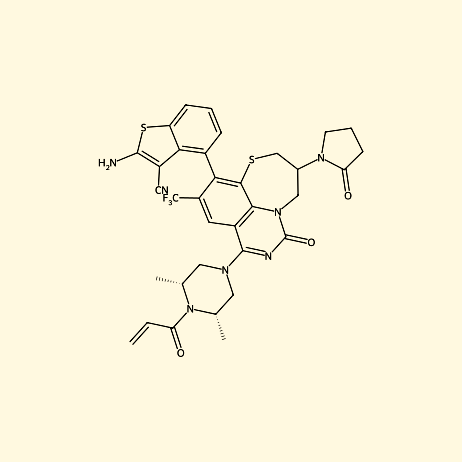 C=CC(=O)N1[C@H](C)CN(c2nc(=O)n3c4c(c(-c5cccc6sc(N)c(C#N)c56)c(C(F)(F)F)cc24)SCC(N2CCCC2=O)C3)C[C@@H]1C